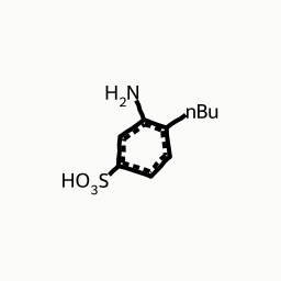 CCCCc1ccc(S(=O)(=O)O)cc1N